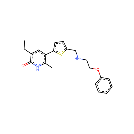 CCc1cc(-c2ccc(CNCCOc3ccccc3)s2)c(C)[nH]c1=O